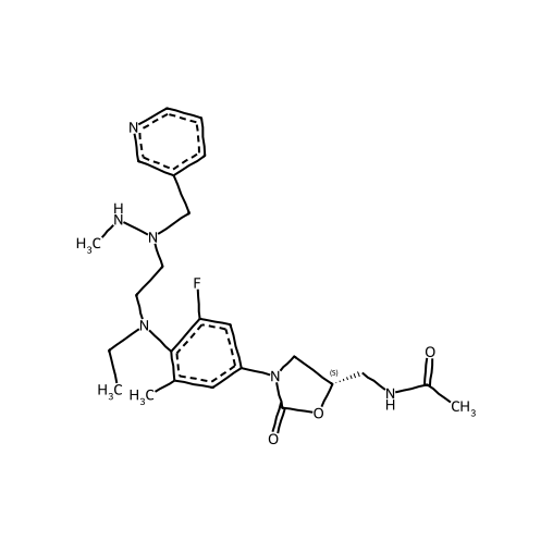 CCN(CCN(Cc1cccnc1)NC)c1c(C)cc(N2C[C@H](CNC(C)=O)OC2=O)cc1F